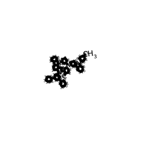 Cc1ccc(N(c2cccc(-n3c4ccccc4c4ccc5c(ccn5-c5cc(-c6ccccc6)cc(-c6ccccc6)c5)c43)c2)c2ccc3c(c2)c2ccccc2n3-c2ccc(C)cc2)cc1